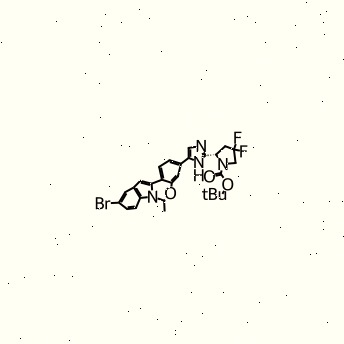 CC1Oc2cc(-c3cnc([C@@H]4CC(F)(F)CN4C(=O)OC(C)(C)C)[nH]3)ccc2-c2cc3cc(Br)ccc3n21